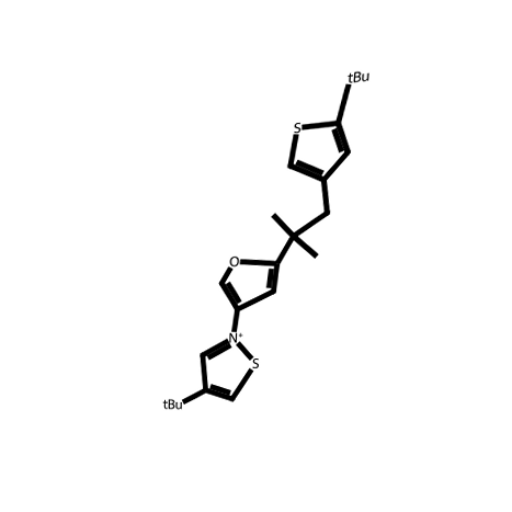 CC(C)(C)c1cs[n+](-c2coc(C(C)(C)Cc3csc(C(C)(C)C)c3)c2)c1